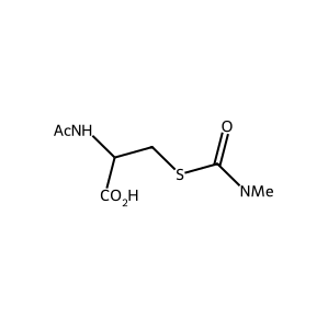 CNC(=O)SCC(NC(C)=O)C(=O)O